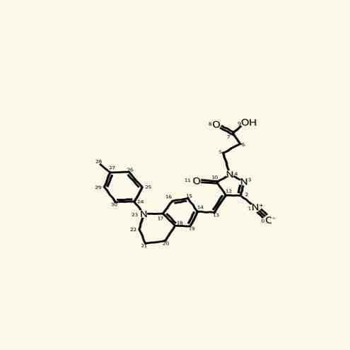 [C-]#[N+]C1=NN(CCC(=O)O)C(=O)/C1=C\c1ccc2c(c1)CCCN2c1ccc(C)cc1